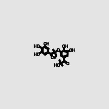 CCC(C)(Oc1cc(C(=O)C(C)(C)O)cc(O)c1O)C(=O)c1cc(O)c(O)c(O)c1